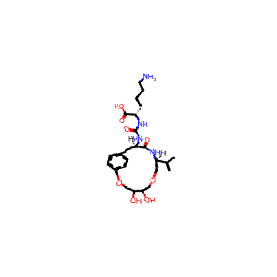 CC(C)[C@H]1COCC(O)C(O)COc2ccc(cc2)C[C@@H](NC(=O)N[C@@H](CCCCN)C(=O)O)C(=O)N1